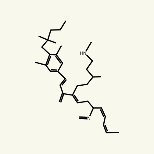 C=NC(/C=C\C=C/C)C/C=C(\CCC(C)CCNC)C(=C)/C=C/c1cc(C)c(CC(C)(C)CCC)c(C)c1